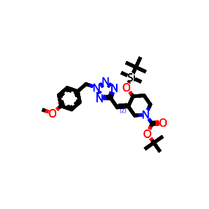 COc1ccc(Cn2nnc(/C=C3/CN(C(=O)OC(C)(C)C)CCC3O[Si](C)(C)C(C)(C)C)n2)cc1